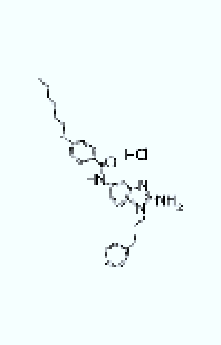 CCCCCCCc1ccc(C(=O)Nc2ccc3c(c2)nc(N)n3CCCc2ccccc2)cc1.Cl